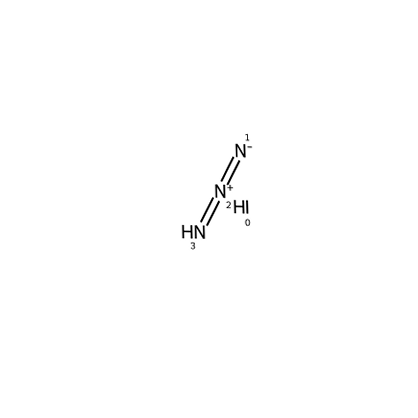 I.[N-]=[N+]=N